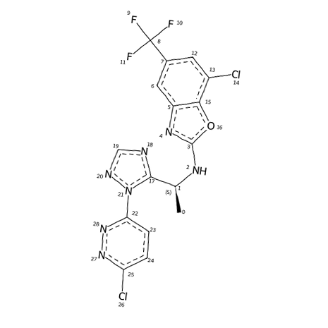 C[C@H](Nc1nc2cc(C(F)(F)F)cc(Cl)c2o1)c1ncnn1-c1ccc(Cl)nn1